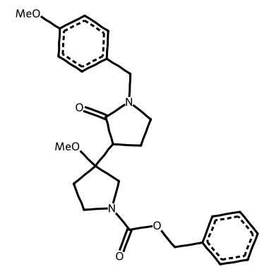 COc1ccc(CN2CCC(C3(OC)CCN(C(=O)OCc4ccccc4)C3)C2=O)cc1